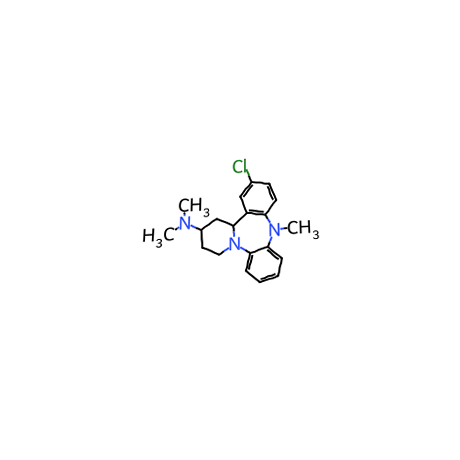 CN1c2ccc(Cl)cc2C2CC(N(C)C)CCN2c2ccccc21